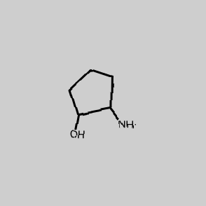 [NH]C1CCCC1O